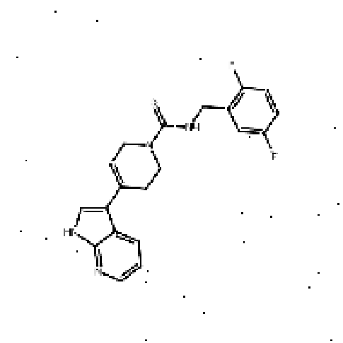 O=C(NCc1cc(F)ccc1F)N1CC=C(c2c[nH]c3ncccc23)CC1